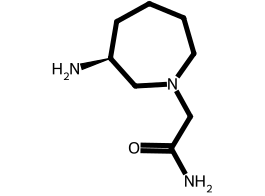 NC(=O)CN1CCCC[C@H](N)C1